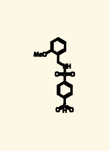 COc1ccccc1CNS(=O)(=O)c1ccc([SH](=O)=O)cc1